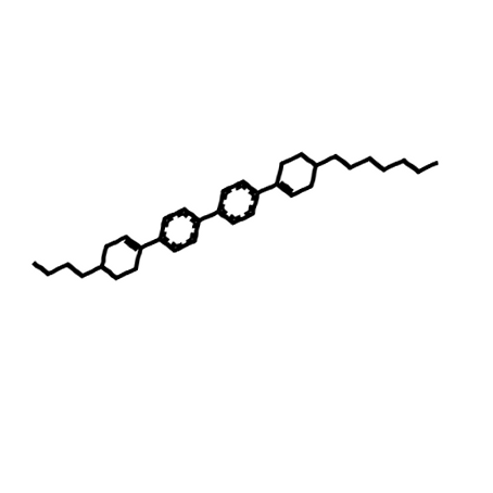 CCCCCCCC1CC=C(c2ccc(-c3ccc(C4=CCC(CCCC)CC4)cc3)cc2)CC1